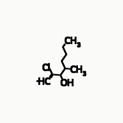 [CH]=C(Cl)C(O)C(C)CCCC